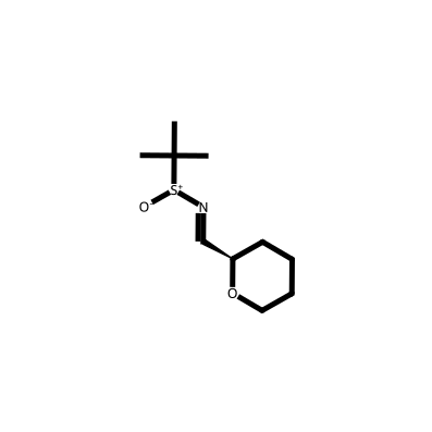 CC(C)(C)[S+]([O-])/N=C/[C@H]1CCCCO1